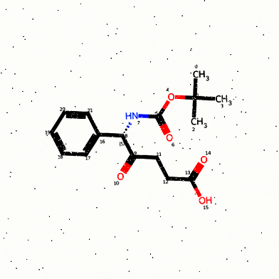 CC(C)(C)OC(=O)N[C@H](C(=O)CCC(=O)O)c1ccccc1